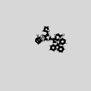 CCOC(=O)[C@@H]1C2CCC(CC2)[C@H]1Nc1nc(-c2cn(C(c3ccccc3)(c3ccccc3)c3ccccc3)c3nc(Cl)cnc23)nc(-c2ccco2)c1F